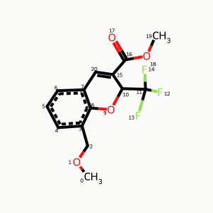 COCc1cccc2c1OC(C(F)(F)F)C(C(=O)OC)=C2